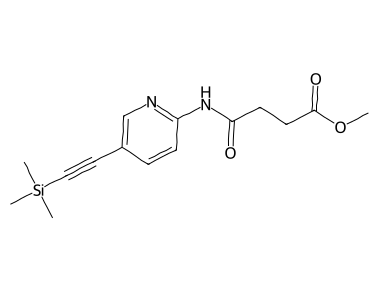 COC(=O)CCC(=O)Nc1ccc(C#C[Si](C)(C)C)cn1